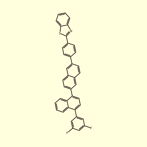 Fc1cc(F)cc(-c2ccc(-c3ccc4cc(-c5ccc(-c6nc7ccccc7s6)cc5)ccc4c3)c3ccccc23)c1